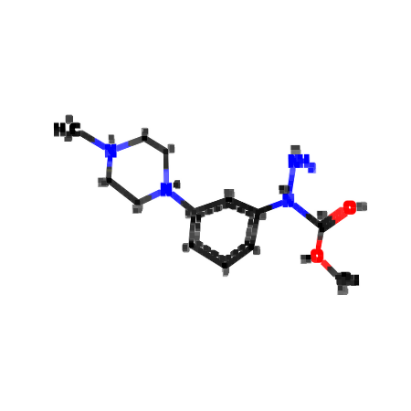 CN1CCN(c2cccc(N(N)C(=O)OC(C)(C)C)c2)CC1